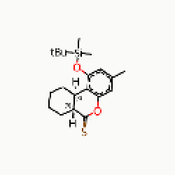 Cc1cc2c(c(O[Si](C)(C)C(C)(C)C)c1)[C@@H]1CCCC[C@H]1C(=S)O2